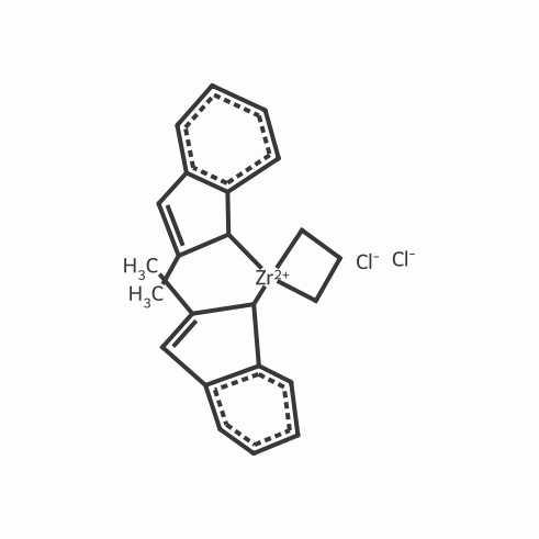 CC1=Cc2ccccc2[CH]1[Zr+2]1([CH]2C(C)=Cc3ccccc32)[CH2]C[CH2]1.[Cl-].[Cl-]